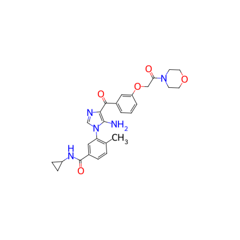 Cc1ccc(C(=O)NC2CC2)cc1-n1cnc(C(=O)c2cccc(OCC(=O)N3CCOCC3)c2)c1N